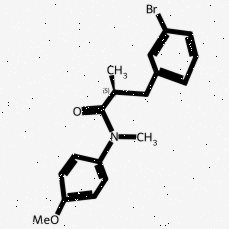 COc1ccc(N(C)C(=O)[C@@H](C)Cc2cccc(Br)c2)cc1